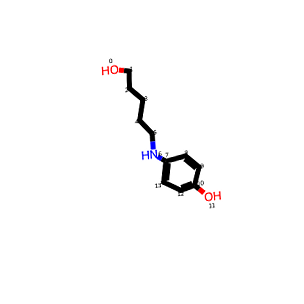 OCCCCCNc1ccc(O)cc1